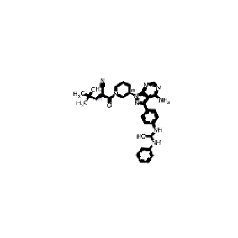 CC(C)(C)/C=C(\C#N)C(=O)N1CCC[C@@H](n2nc(-c3ccc(NC(O)Nc4ccccc4)cc3)c3c(N)ncnc32)C1